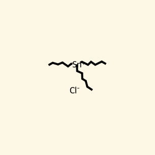 CCCCC[CH2][Sn+]([CH2]CCCCC)[CH2]CCCCC.[Cl-]